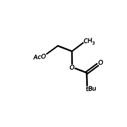 CC(=O)OCC(C)OC(=O)C(C)(C)C